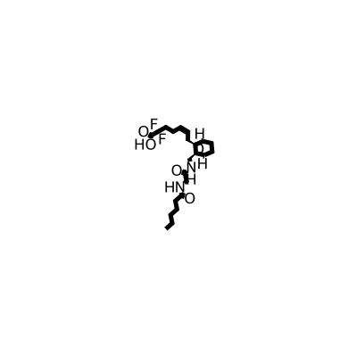 CCCCCC(=O)NCC(=O)NC[C@H]1[C@@H](C/C=C\CCC(F)(F)C(=O)O)[C@H]2CC[C@@H]1O2